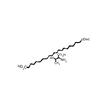 CC(O)C(N)C(=O)O.CCCCCCCCCCCCCCCCCCCCCCCCCCCCCC(=O)O